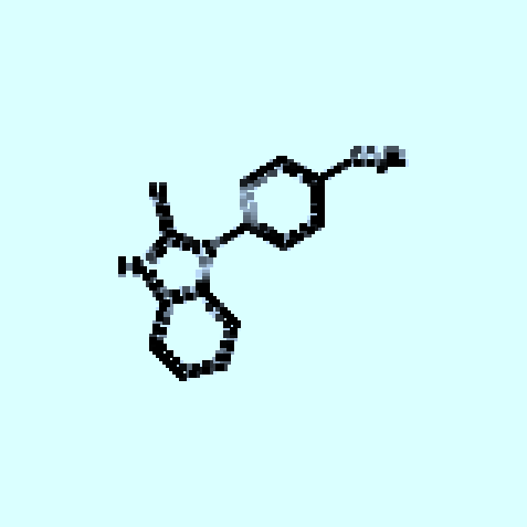 CCOC(=O)c1ccc(-n2c(=O)[nH]c3ccccc32)cc1